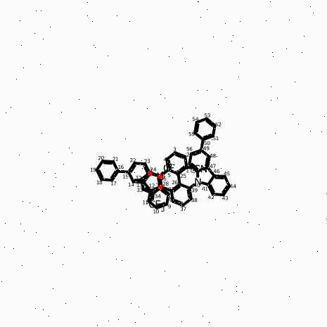 N#Cc1cccc(-n2c3ccccc3c3cc(-c4ccccc4)ccc32)c1-c1c(-c2c(C(F)(F)F)cccc2C(F)(F)F)cccc1-n1c2ccccc2c2cc(-c3ccccc3)ccc21